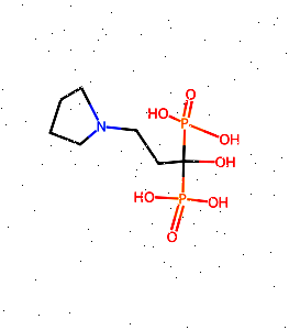 O=P(O)(O)C(O)(CCN1CCCC1)P(=O)(O)O